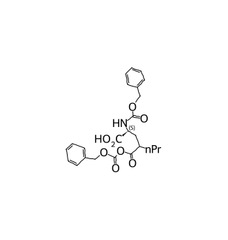 CCCC(C[C@H](NC(=O)OCc1ccccc1)C(=O)O)C(=O)OC(=O)OCc1ccccc1